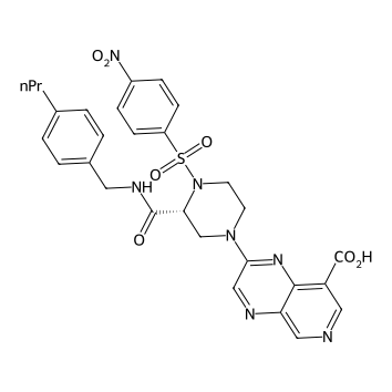 CCCc1ccc(CNC(=O)[C@H]2CN(c3cnc4cncc(C(=O)O)c4n3)CCN2S(=O)(=O)c2ccc([N+](=O)[O-])cc2)cc1